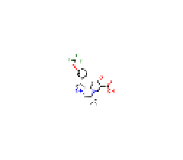 CC(C)(C)[C@@H]1Cn2ncc(-c3cccc(OC(F)(F)F)c3)c2-c2cc(=O)c(C(=O)O)cn21